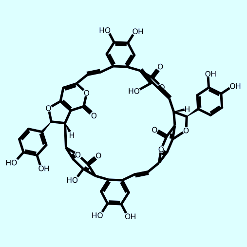 O=c1oc2cc(O)c1-c1cc(O)c(O)cc1/C=C/c1cc3c(c(=O)o1)[C@H](c1cc(O)c(c(=O)o1)-c1cc(O)c(O)cc1/C=C/c1cc4c(c(=O)o1)[C@H]2[C@@H](c1ccc(O)c(O)c1)O4)[C@@H](c1ccc(O)c(O)c1)O3